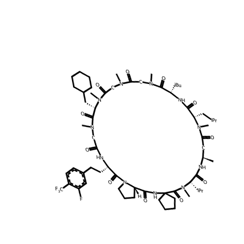 CCC(C)[C@@H]1NC(=O)[C@H](CC(C)C)N(C)C(=O)C[C@@H](C)NC(=O)[C@H](C(C)C)N(C)C(=O)C2(CCCC2)NC(=O)[C@@H]2CCCN2C(=O)[C@H](CCc2ccc(C(F)(F)F)c(F)c2)NC(=O)CN(C)C(=O)[C@H](CC2CCCCC2)N(C)C(=O)CN(C)C(=O)CN(C)C1=O